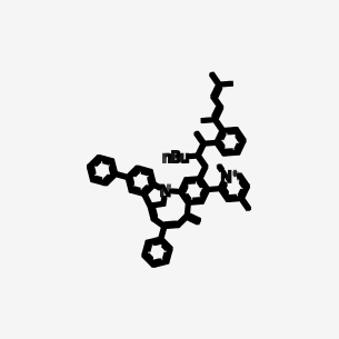 C=C1/C=C(c2ccccc2)\C=C2/CN(c3cc(CC(CCCC)C(C)c4ccccc4/C(C)=C/C=C(C)C)c(-c4cc(C)cc[n+]4C)cc31)c1ccc(-c3ccccc3)cc12